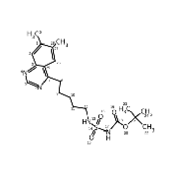 Cc1cc2ncnc(CCCCCNS(=O)(=O)NC(=O)OC(C)(C)C)c2cc1C